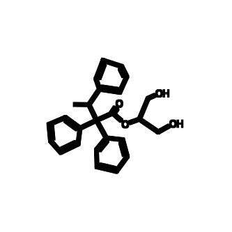 CC(c1ccccc1)C(C(=O)OC(CO)CO)(c1ccccc1)c1ccccc1